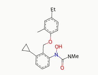 CCc1ccc(OCc2c(C3CC3)cccc2N(O)C(=O)NC)c(C)c1